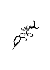 CCC(C)NC(=O)n1sc2ccc(C)cc2c1=O